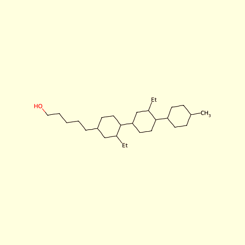 CCC1CC(CCCCCO)CCC1C1CCC(C2CCC(C)CC2)C(CC)C1